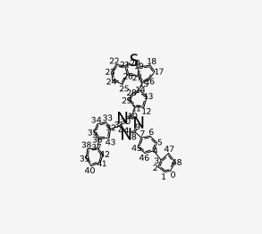 c1ccc(-c2ccc(-c3nc(-c4ccc(-c5cccc6sc7ccccc7c56)cc4)nc(-c4cccc(-c5ccccc5)c4)n3)cc2)cc1